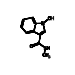 CNC(=O)c1cn(O)c2ccccc12